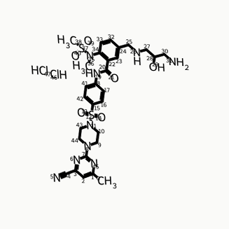 Cc1cc(C#N)nc(N2CCN(S(=O)(=O)c3ccc(NC(=O)c4cc(CNCC(O)CN)ccc4N(C)S(C)(=O)=O)cc3)CC2)n1.Cl.Cl